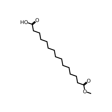 COC(=O)CCCCCCCCCCCCCC(=O)O